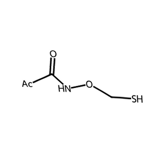 CC(=O)C(=O)NOCS